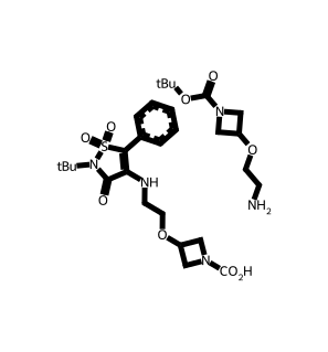 CC(C)(C)N1C(=O)C(NCCOC2CN(C(=O)O)C2)=C(c2ccccc2)S1(=O)=O.CC(C)(C)OC(=O)N1CC(OCCN)C1